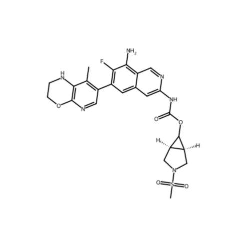 Cc1c(-c2cc3cc(NC(=O)OC4[C@H]5CN(S(C)(=O)=O)C[C@@H]45)ncc3c(N)c2F)cnc2c1NCCO2